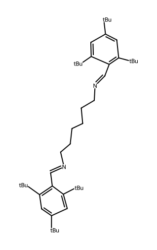 CC(C)(C)c1cc(C(C)(C)C)c(/C=N/CCCCCC/N=C/c2c(C(C)(C)C)cc(C(C)(C)C)cc2C(C)(C)C)c(C(C)(C)C)c1